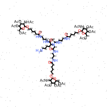 CC(=O)NC1C(OCCCCCC(=O)NCCCNC(=O)CN(C(C=O)NCCCNC(=O)CCCCCOC2OC(COC(C)=O)C(OC(C)=O)C(OC(C)=O)C2NC(C)=O)C(CCCCN)C(=O)NCCCNC(=O)CCCCCOC2OC(COC(C)=O)C(OC(C)=O)C(OC(C)=O)C2NC(C)=O)OC(COC(C)=O)C(OC(C)=O)C1OC(C)=O